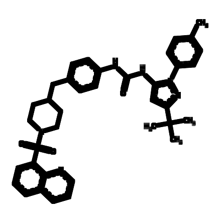 Cc1ccc(-n2nc(C(C)(C)C)cc2NC(=O)Nc2ccc(CC3CCN(S(=O)(=O)c4cccc5cccnc45)CC3)cc2)cc1